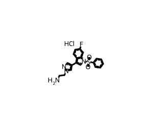 Cl.NCCn1cc(-c2cn(S(=O)(=O)c3ccccc3)c3cc(F)ccc23)cn1